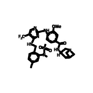 COc1cc(C(=O)N[C@H]2C=C3CN(C3)C2)ccc1Nc1ncc(C(F)(F)F)c(NCc2ccc(C)cc2N(C)S(C)(=O)=O)n1